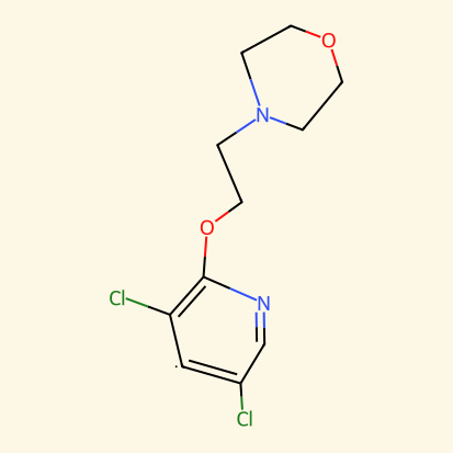 Clc1[c]c(Cl)c(OCCN2CCOCC2)nc1